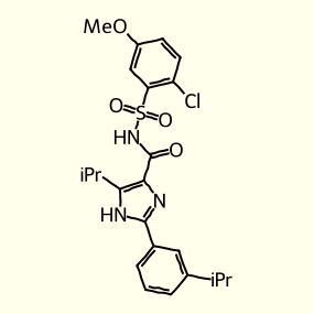 COc1ccc(Cl)c(S(=O)(=O)NC(=O)c2nc(-c3cccc(C(C)C)c3)[nH]c2C(C)C)c1